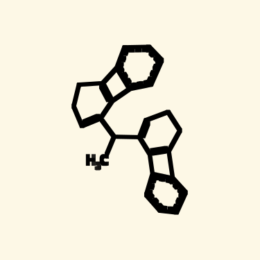 CC(C1=CCCC2=C1c1ccccc12)C1=CCCC2=C1c1ccccc12